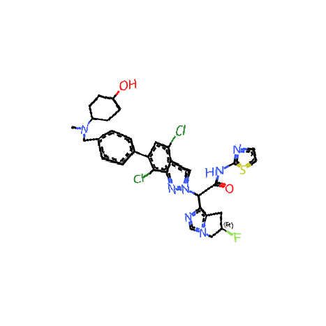 CN(Cc1ccc(-c2cc(Cl)c3cn(C(C(=O)Nc4nccs4)c4ncn5c4C[C@@H](F)C5)nc3c2Cl)cc1)C1CCC(O)CC1